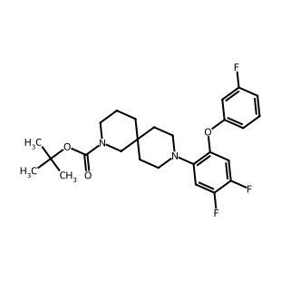 CC(C)(C)OC(=O)N1CCCC2(CCN(c3cc(F)c(F)cc3Oc3cccc(F)c3)CC2)C1